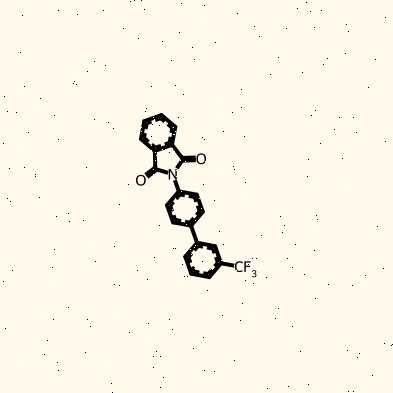 O=C1c2ccccc2C(=O)N1c1ccc(-c2cccc(C(F)(F)F)c2)cc1